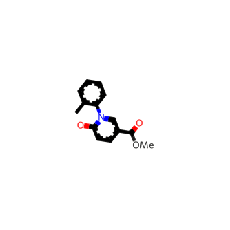 COC(=O)c1ccc(=O)n(-c2ccccc2C)c1